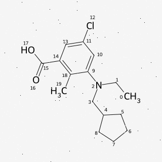 CCN(CC1CCCC1)c1cc(Cl)cc(C(=O)O)c1C